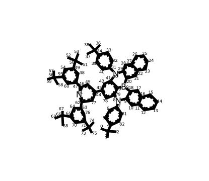 CC(C)(C)c1ccc(N2c3cc4ccccc4cc3B3c4cc5ccccc5cc4N(c4ccc(C(C)(C)C)cc4)c4cc(-c5cc(-c6cc(C(C)(C)C)cc(C(C)(C)C)c6)nc(-c6cc(C(C)(C)C)cc(C(C)(C)C)c6)c5)cc2c43)cc1